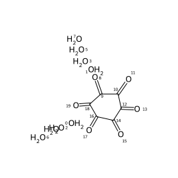 O.O.O.O.O.O.O.O.O=C1C(=O)C(=O)C(=O)C(=O)C1=O